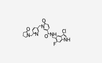 O=C(NCc1cc2c(Cl)c[nH]c2cc1F)c1ccc(=O)n(Cc2ccc(CN3CCCC3=O)nc2)c1